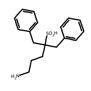 NCCCC(Cc1ccccc1)(Cc1ccccc1)S(=O)(=O)O